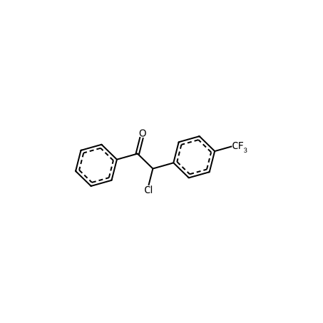 O=C(c1ccccc1)C(Cl)c1ccc(C(F)(F)F)cc1